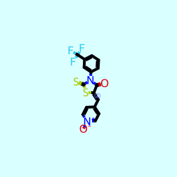 O=C1/C(=C/c2cc[n+]([O-])cc2)SC(=S)N1c1cccc(C(F)(F)F)c1